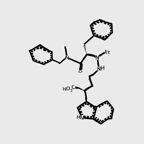 CCN(NCC[C@H](C(=O)O)c1c[nH]c2ccccc12)[C@@H](Cc1ccccc1)C(=O)N(C)Cc1ccccc1